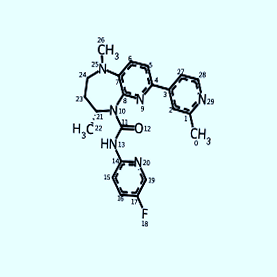 Cc1cc(-c2ccc3c(n2)N(C(=O)Nc2ccc(F)cn2)[C@H](C)CCN3C)ccn1